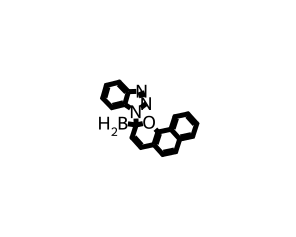 BC1(n2nnc3ccccc32)C=Cc2ccc3ccccc3c2O1